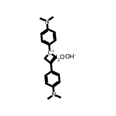 CN(C)c1ccc(C2=C[C+](c3ccc(N(C)C)cc3)C2)cc1.O.[OH-]